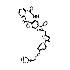 O=C(NCc1cnc(-c2ccc(OCCN3CCOCC3)cc2)s1)c1ccc2c(c1)NC(=O)c1ccccc1S2(=O)=O